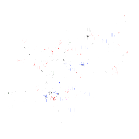 CN[C@H](CC(C)C)C(=O)N[C@H]1C(=O)NC(CC(N)=O)C(=O)NC2C(=O)N[C@H]3C(=O)N[C@H](C(=O)N[C@@H](C(=O)NOCCOC)c4cc(O)cc(O)c4-c4cc3ccc4O)[C@H](O)c3ccc(c(Cl)c3)Oc3cc2cc(c3O[C@@H]2O[C@H](CO)[C@@H](O)[C@H](O)[C@H]2O[C@H]2C[C@](C)(NCCn3ccc(NC(=O)Cc4ccc(Cl)c(Cl)c4)nc3=O)[C@H](O)C(C)O2)Oc2ccc(cc2Cl)[C@H]1O